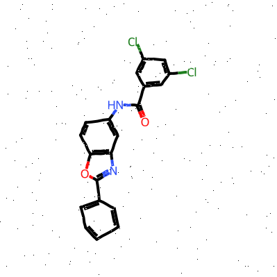 O=C(Nc1ccc2oc(-c3ccccc3)nc2c1)c1cc(Cl)cc(Cl)c1